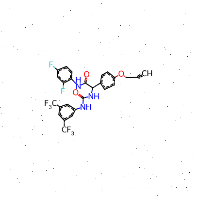 C#CCOc1ccc(C(NC(=O)Nc2cc(C(F)(F)F)cc(C(F)(F)F)c2)C(=O)Nc2ccc(F)cc2F)cc1